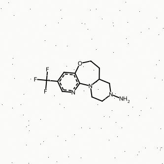 NN1CCN2c3ncc(C(F)(F)F)cc3OCCC2C1